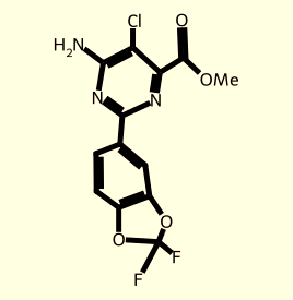 COC(=O)c1nc(-c2ccc3c(c2)OC(F)(F)O3)nc(N)c1Cl